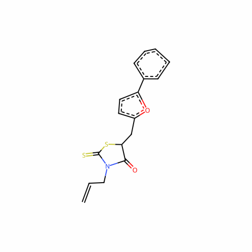 C=CCN1C(=O)C(Cc2ccc(-c3ccccc3)o2)SC1=S